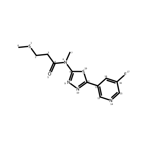 CSCCC(=O)N(C)c1nnc(-c2cncc(F)c2)s1